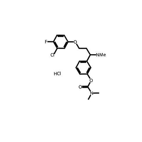 CNC(CCOc1ccc(F)c(Cl)c1)c1cccc(OC(=O)N(C)C)c1.Cl